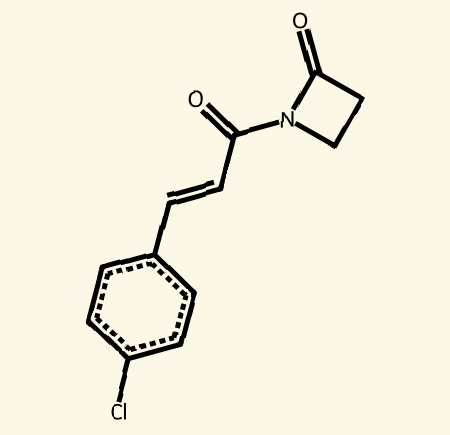 O=C(/C=C/c1ccc(Cl)cc1)N1CCC1=O